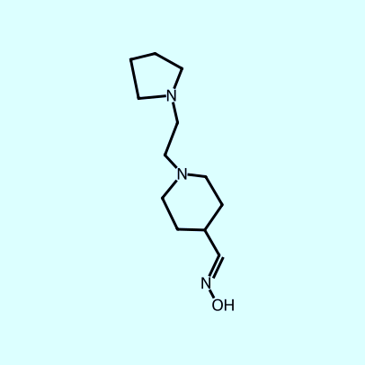 ON=CC1CCN(CCN2CCCC2)CC1